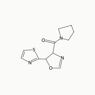 O=C(C1N=COC1c1nccs1)N1CCCC1